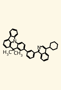 CC1(C)c2cc(-c3cccc(-c4ncc(C5CCCCC5)c5ccccc45)c3)ccc2-n2c3ccccc3c3cccc1c32